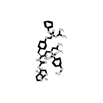 COc1ccc(S(=O)(=O)N(CC(C)C)C[C@@H](O)[C@H](Cc2ccc(OCP(=O)(Oc3ccccc3)OC(C)C)cc2)NC(=O)O[C@H]2CO[C@H]3OCC[C@H]32)cc1